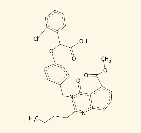 CCCCc1nc2cccc(C(=O)OC)c2c(=O)n1Cc1ccc(OC(C(=O)O)c2ccccc2Cl)cc1